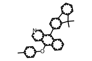 Cc1ccc(Oc2c3ccccc3c(-c3ccc4c(c3)C(C)(C)c3ccccc3-4)c3cnccc23)cc1